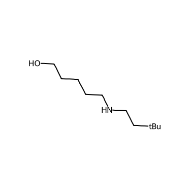 CC(C)(C)CCNCCCCCO